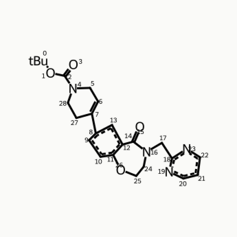 CC(C)(C)OC(=O)N1CC=C(c2ccc3c(c2)C(=O)N(Cc2ncccn2)CCO3)CC1